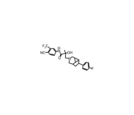 CC(O)(CN1CC2CC(c3ccc(F)cc3)C3C(C1)C23)C(=O)Nc1ccc(C#N)c(C(F)(F)F)c1